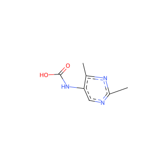 Cc1ncc(NC(=O)O)c(C)n1